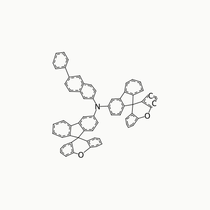 c1ccc(-c2ccc3cc(N(c4ccc5c(c4)-c4ccccc4C54c5ccccc5Oc5ccccc54)c4ccc5c(c4)-c4ccccc4C54c5ccccc5Oc5ccccc54)ccc3c2)cc1